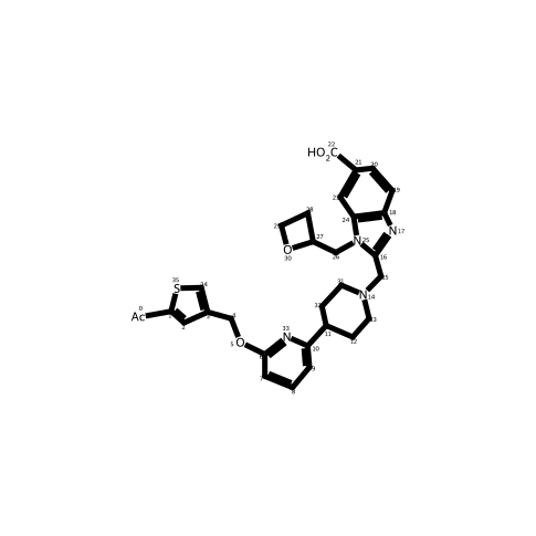 CC(=O)c1cc(COc2cccc(C3CCN(Cc4nc5ccc(C(=O)O)cc5n4CC4CCO4)CC3)n2)cs1